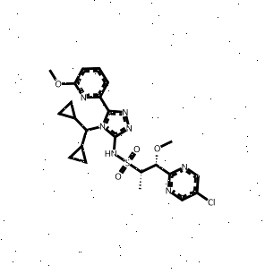 COc1cccc(-c2nnc(NS(=O)(=O)[C@@H](C)[C@H](OC)c3ncc(Cl)cn3)n2C(C2CC2)C2CC2)n1